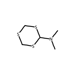 CN(C)C1SCSCS1